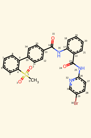 CS(=O)(=O)c1ccccc1-c1ccc(C(=O)Nc2ccccc2C(=O)Nc2ccc(Br)cn2)cc1